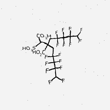 O=C(O)C(C(CC(F)(F)C(F)(F)C(F)(F)C(F)F)(CC(F)(F)C(F)(F)C(F)(F)C(F)F)C(=O)O)S(=O)(=O)O